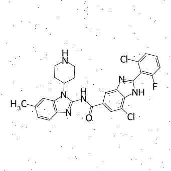 Cc1ccc2nc(NC(=O)c3cc(Cl)c4[nH]c(-c5c(F)cccc5Cl)nc4c3)n(C3CCNCC3)c2c1